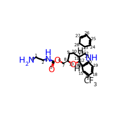 NCCNC(=O)OC[C@H]1CC[C@@H]2[C@H](O1)c1cc(C(F)(F)F)ccc1N[C@H]2C1C=CC=CC1